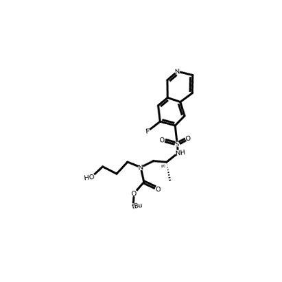 C[C@H](CN(CCCO)C(=O)OC(C)(C)C)NS(=O)(=O)c1cc2ccncc2cc1F